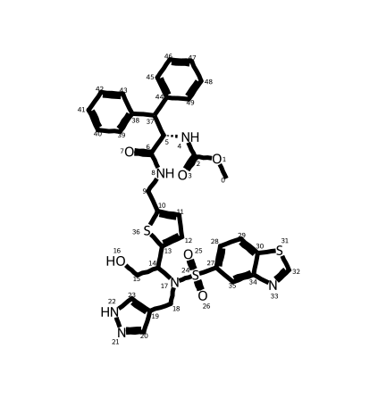 COC(=O)N[C@H](C(=O)NCc1ccc(C(CO)N(Cc2cn[nH]c2)S(=O)(=O)c2ccc3scnc3c2)s1)C(c1ccccc1)c1ccccc1